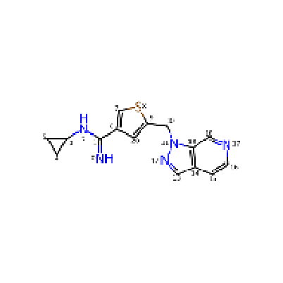 N=C(NC1CC1)c1csc(Cn2ncc3ccncc32)c1